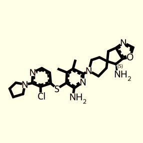 Cc1c(N2CCC3(CC2)Cc2ncoc2[C@H]3N)nc(N)c(Sc2ccnc(N3CCCC3)c2Cl)c1C